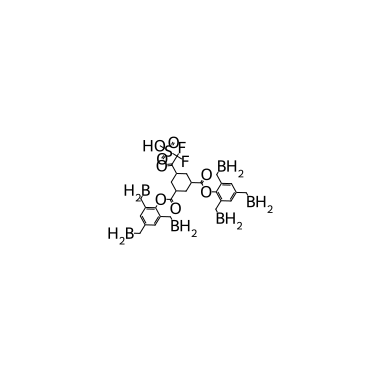 BCc1cc(CB)c(OC(=O)C2CC(C(=O)Oc3c(CB)cc(CB)cc3CB)CC(C(=O)C(F)(F)S(=O)(=O)O)C2)c(CB)c1